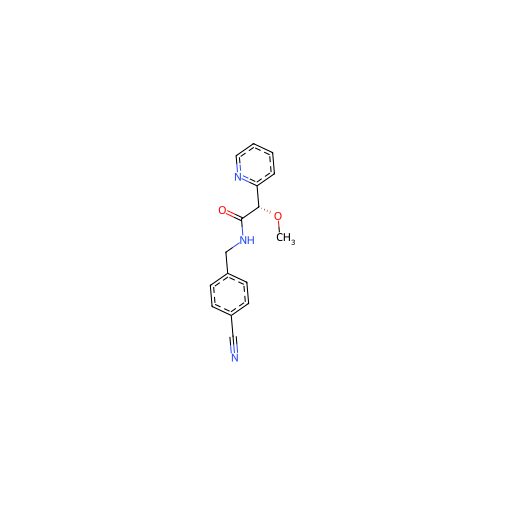 CO[C@H](C(=O)NCc1ccc(C#N)cc1)c1ccccn1